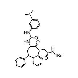 CN(C)c1cccc(NC(=O)NC2CC(c3ccccc3)c3ccccc3N(CC(=O)NC(C)(C)C)C2=O)c1